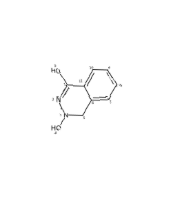 OC1=NN(O)Cc2ccccc21